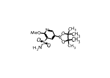 COc1ncc(B2OC(C)(C)C(C)(C)O2)cc1S(N)(=O)=O